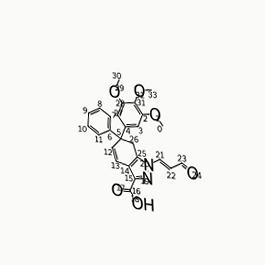 COc1cc(C2(c3ccccc3)C=Cc3c(C(=O)O)nn(C=CC=O)c3C2)cc(OC)c1OC